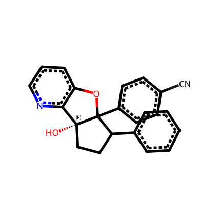 N#Cc1ccc(C23Oc4cccnc4[C@]2(O)CCC3c2ccccc2)cc1